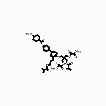 C=C(C)C(=O)OCCCc1cc(-c2ccc(OC(=O)C3CCC(CCCCC)CC3)cc2)ccc1OCC(COC(=O)C(=C)C)(COC(=O)C(=O)OC)COC(=O)C(=O)OC